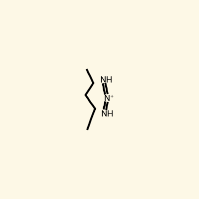 CCCCC.N=[N+]=N